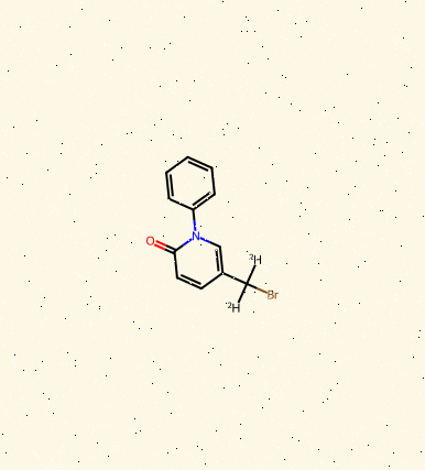 [2H]C([2H])(Br)c1ccc(=O)n(-c2ccccc2)c1